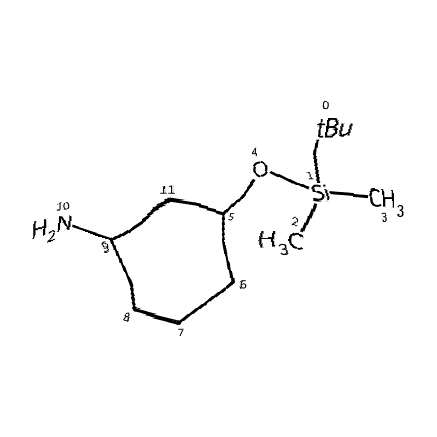 CC(C)(C)[Si](C)(C)OC1CCCC(N)C1